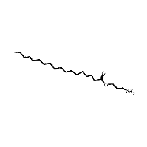 CCCCCCCCCCCCCCCCCC(=O)OCCCN